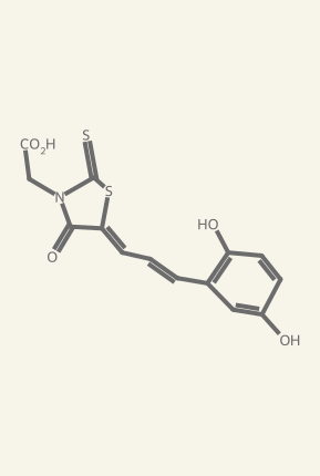 O=C(O)CN1C(=O)C(=CC=Cc2cc(O)ccc2O)SC1=S